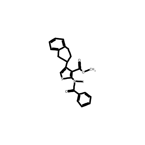 COC(=O)c1c(C2CCc3ccccc3C2)csc1N(I)C(=O)c1ccccc1